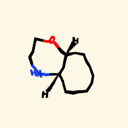 C1CC[C@H]2NCCO[C@H]2C1